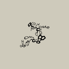 COc1nc(-c2cccc(-c3cccc4c3CC[C@@H]4Oc3nc(OC)c(CNCCC4(C(=O)O)CCC4)cc3Cl)c2Cl)ccc1CNC[C@@H]1CCC(=O)N1